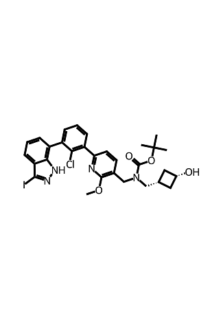 COc1nc(-c2cccc(-c3cccc4c(I)n[nH]c34)c2Cl)ccc1CN(C[C@H]1C[C@@H](O)C1)C(=O)OC(C)(C)C